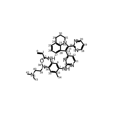 C=CC(=O)Nc1cc(Nc2nccc(-c3c(-c4ncccn4)n4c5c(cccc35)CCC4)n2)c(C)cc1N(C)CCN(C)C